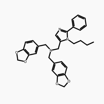 CCCCn1c(CN(Cc2ccc3c(c2)OCO3)Cc2ccc3c(c2)OCO3)cnc1-c1ccccc1